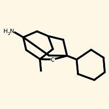 CC12CC3CC(N)(C1)CC(C1CCCCC1)(C3)C2